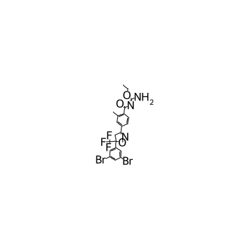 CCO/C(N)=N\C(=O)c1ccc(C2=NOC(c3cc(Br)cc(Br)c3)(C(F)(F)F)C2)cc1C